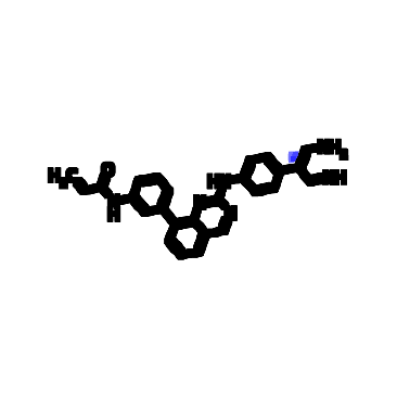 C=CC(=O)Nc1cccc(-c2cccc3cnc(Nc4ccc(/C(C=N)=C/N)cc4)nc23)c1